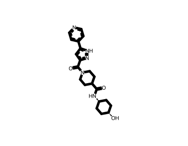 O=C(N[C@H]1CC[C@@H](O)CC1)C1CCN(C(=O)c2cc(-c3ccncc3)[nH]n2)CC1